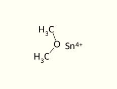 COC.[Sn+4]